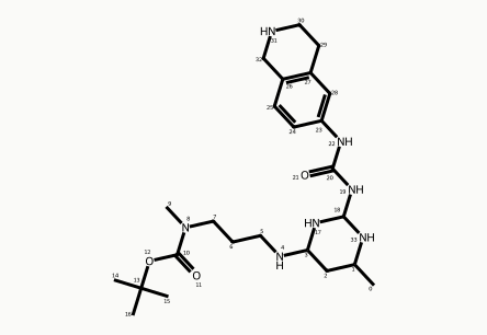 CC1CC(NCCCN(C)C(=O)OC(C)(C)C)NC(NC(=O)Nc2ccc3c(c2)CCNC3)N1